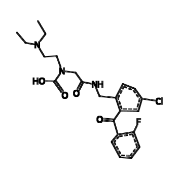 CCN(CC)CCN(CC(=O)NCc1ccc(Cl)cc1C(=O)c1ccccc1F)C(=O)O